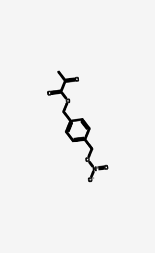 CC(=O)C(=O)OCc1ccc(CO[N+](=O)[O-])cc1